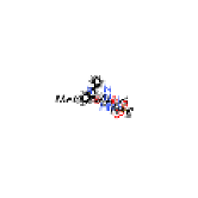 C=CCC[C@](C)(NC(=O)C1C[C@@H](Oc2cc(-c3ccccc3)nc3cc(OC)ccc23)CN1)C(=O)NS(=O)(=O)C1CC1